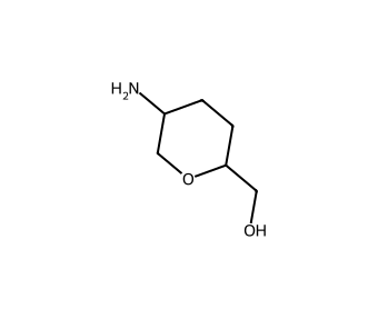 NC1CCC(CO)OC1